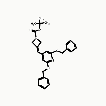 CC(C)(C)OC(=O)N1CC(=Cc2cc(OCc3ccccc3)nc(OCc3ccccc3)c2)C1